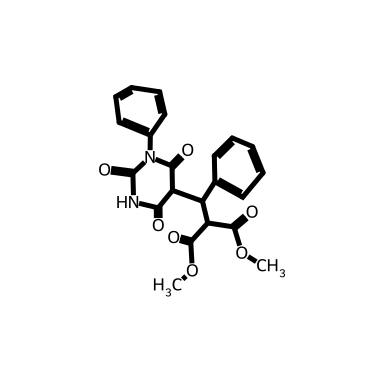 COC(=O)C(C(=O)OC)C(c1ccccc1)C1C(=O)NC(=O)N(c2ccccc2)C1=O